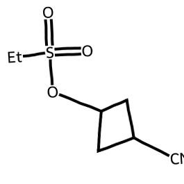 CCS(=O)(=O)OC1CC(C#N)C1